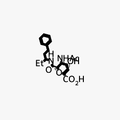 CCC(CCc1ccccc1)NC(=O)[C@@H]1OC(C(=O)O)=C[C@H](O)[C@H]1NC(C)=O